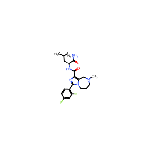 CC(C)C[C@H](NC(=O)c1nc(-c2ccc(F)cc2F)n2c1CN(C)CCC2)C(N)=O